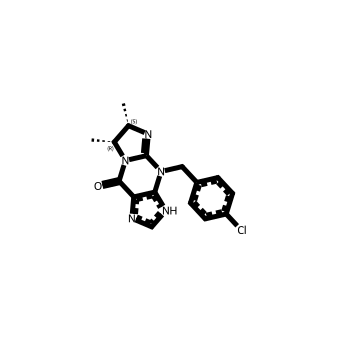 C[C@@H]1N=C2N(Cc3ccc(Cl)cc3)c3[nH]cnc3C(=O)N2[C@@H]1C